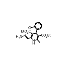 CCOC(=O)C1=C(C)NC(C=NN)=C(C(=O)OCC)C1c1ccccc1Cl